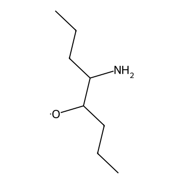 CCCC(N)C([O])CCC